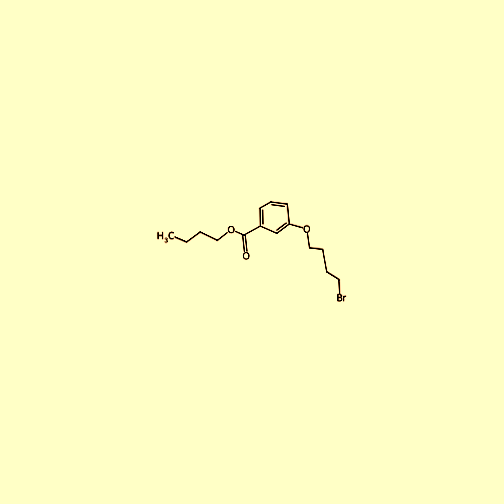 CCCCOC(=O)c1cccc(OCCCCBr)c1